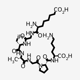 CC(C)C[C@H](NC(=O)CNC(=O)[C@@H](N)CCCCCC(=O)O)C(=O)N[C@@H](C)C(=O)NCC(=O)N1CCC[C@H]1C(=O)N[C@@H](CCCCN)C(=O)O